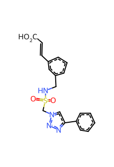 O=C(O)/C=C/c1cccc(CNS(=O)(=O)Cn2cc(-c3ccccc3)nn2)c1